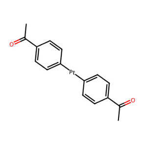 CC(=O)c1cc[c]([Pt][c]2ccc(C(C)=O)cc2)cc1